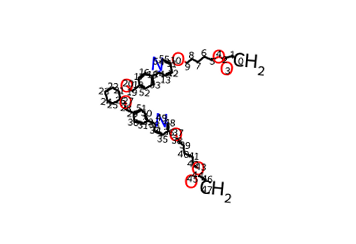 C=CC(=O)OCCCCCOc1ccc(-c2ccc(CO[C@@H]3CCCC[C@H]3OCc3ccc(-c4ccc(OCCCCCOC(=O)C=C)cn4)cc3)cc2)nc1